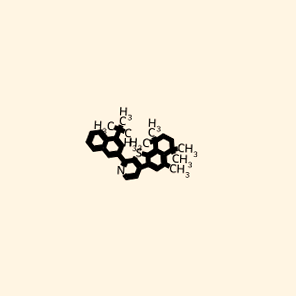 Cc1cc2c(sc3c(-c4cc(C(C)(C)C)c5ccccc5c4)nccc32)c2c1C(C)(C)CCC2(C)C